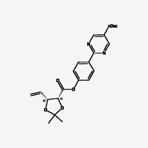 C=C[C@H]1OC(C)(C)O[C@H]1C(=O)Oc1ccc(-c2ncc(CCCCCCCCCC)cn2)cc1